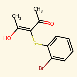 CC(=O)C(Sc1ccccc1Br)=C(C)O